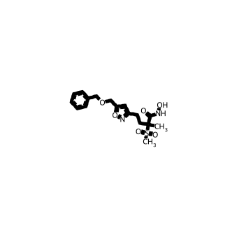 CC(CCc1cc(COCc2ccccc2)on1)(C(=O)NO)S(C)(=O)=O